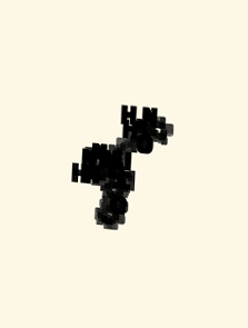 Nc1ccccc1NC(=O)CCCCCNc1ncnc2[nH]cc(C(=O)c3ccc(Oc4ccccc4)cc3Cl)c12